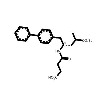 CCOC(=O)C(C)C[C@@H](Cc1ccc(-c2ccccc2)cc1)NC(=O)CCC(=O)O